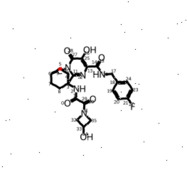 O=C(NC12CCC(CC1)Cn1c2nc(C(=O)NCc2ccc(F)cc2)c(O)c1=O)C(=O)N1CC(O)C1